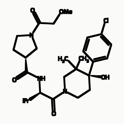 COCC(=O)N1CC[C@@H](C(=O)N[C@@H](C(=O)N2CC[C@](O)(c3ccc(Cl)cc3)C(C)(C)C2)C(C)C)C1